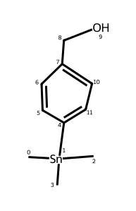 [CH3][Sn]([CH3])([CH3])[c]1ccc(CO)cc1